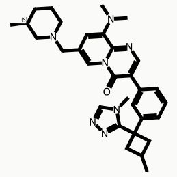 CC1CC(c2cccc(-c3cnc4c(N(C)C)cc(CN5CCC[C@H](C)C5)cn4c3=O)c2)(c2nncn2C)C1